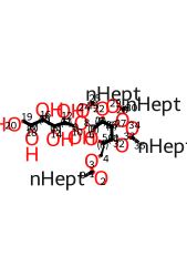 CCCCCCCC(=O)OC[C@H]1O[C@H](OC(O)[C@@H](O)[C@@H](O)[C@H](O)[C@H](O)CO)[C@@H](OC(=O)CCCCCCC)[C@@H](OC(=O)CCCCCCC)[C@@H]1OC(=O)CCCCCCC